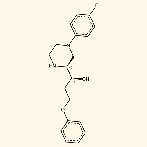 O[C@@H](CCOc1cc[c]cc1)[C@@H]1CN(c2ccc(F)cc2)CCN1